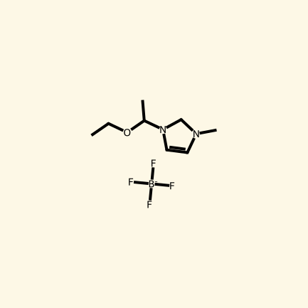 CCOC(C)N1C=CN(C)C1.F[B-](F)(F)F